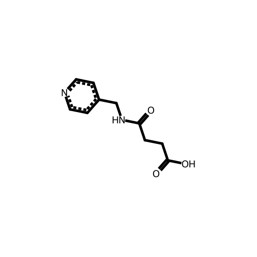 O=C(O)CCC(=O)NCc1ccncc1